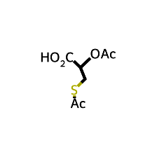 CC(=O)OC(CSC(C)=O)C(=O)O